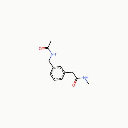 CNC(=O)Cc1cccc(CNC(C)=O)c1